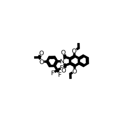 CCOc1c2c(c(OCC)c3ccccc13)C(=O)N(c1ccc(OC(C)=O)cc1C(F)(F)F)C2=O